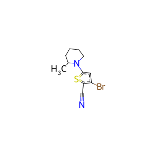 CC1CCCCN1c1cc(Br)c(C#N)s1